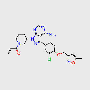 C=CC(=O)N1CCCC(n2nc(C3=CC(Cl)=C(OCc4cc(C)on4)CC3)c3c(N)ncnc32)C1